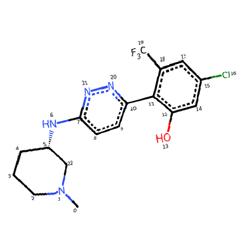 CN1CCC[C@H](Nc2ccc(-c3c(O)cc(Cl)cc3C(F)(F)F)nn2)C1